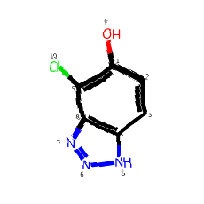 Oc1ccc2[nH]nnc2c1Cl